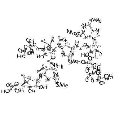 CNc1nc(SC)nc2c1ncn2[C@@H]1C[C@](C)(COP(=O)(O)OP(=O)(O)OP(=O)(O)O)[C@@H](O)[C@H]1OCNc1nc(SC)nc2c1ncn2[C@H]1[C@H](OCNc2nc(SC)nc3c2ncn3[C@@H]2C3C[C@@]3(COP(=O)(O)O)[C@@H](O)[C@H]2O)[C@H](O)[C@]2(COP(=O)(O)OP(=O)(O)O)C[C@H]12